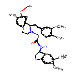 COc1ccc(CC2c3cc(OC(C)C)c(OC)cc3CCN2CC(=O)NC2CCc3cc(OC)c(OC)cc32)cc1OC